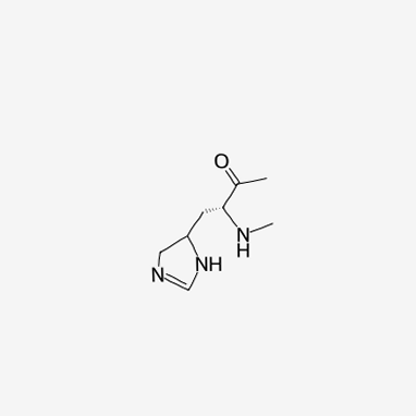 CN[C@H](CC1CN=CN1)C(C)=O